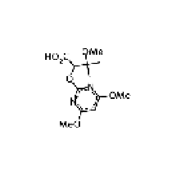 COc1cc(OC)nc(OC(C(=O)O)C(C)(C)OC)n1